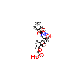 O=C(O)COc1cccc2c1OC1CC(O)C(CNS(=O)(=O)c3ccccc3)C21